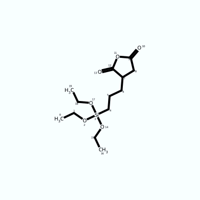 CCO[Si](CCCC1CC(=O)OC1=O)(OCC)OCC